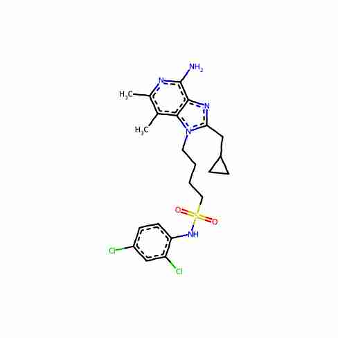 Cc1nc(N)c2nc(CC3CC3)n(CCCCS(=O)(=O)Nc3ccc(Cl)cc3Cl)c2c1C